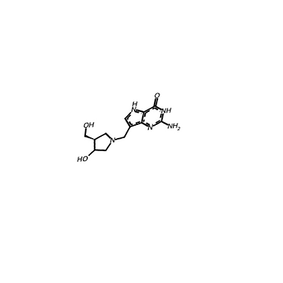 Nc1nc2c(CN3CC(O)[C@@H](CO)C3)c[nH]c2c(=O)[nH]1